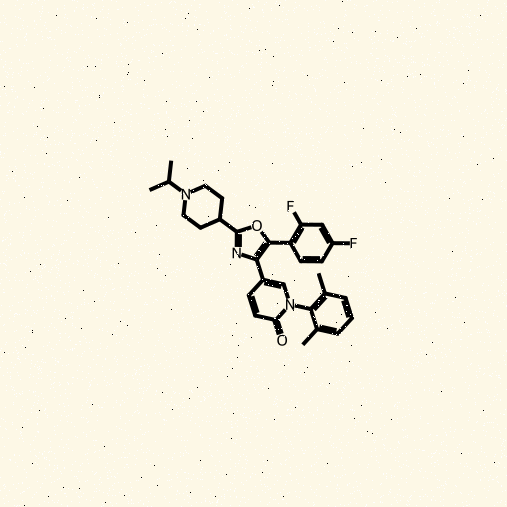 Cc1cccc(C)c1-n1cc(-c2nc(C3CCN(C(C)C)CC3)oc2-c2ccc(F)cc2F)ccc1=O